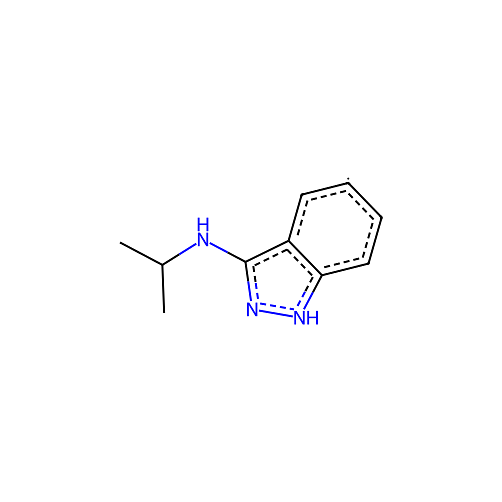 CC(C)Nc1n[nH]c2cc[c]cc12